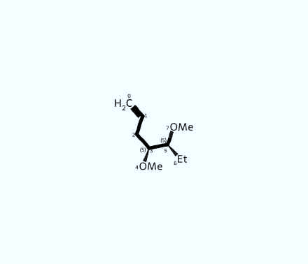 C=CC[C@H](OC)[C@H](CC)OC